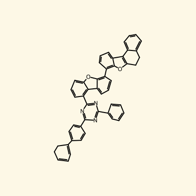 C1=CCCC(c2ccc(-c3nc(-c4ccccc4)nc(-c4cccc5oc6c(-c7cccc8c9c(oc78)CCc7ccccc7-9)cccc6c45)n3)cc2)=C1